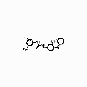 N[C@@H]1CCCC[C@H]1C(=O)N1CCC(CNC(=O)Nc2cc(C(F)(F)F)cc(C(F)(F)F)c2)CC1